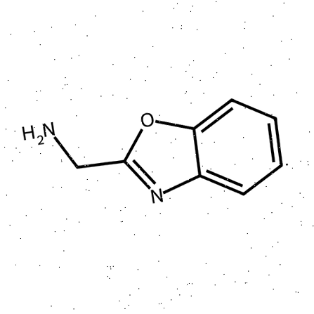 NCc1nc2c[c]ccc2o1